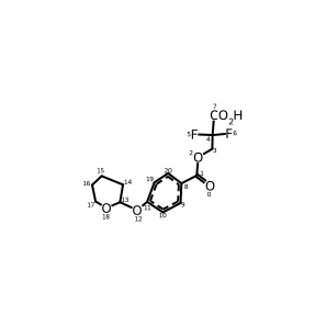 O=C(OCC(F)(F)C(=O)O)c1ccc(OC2CCCCO2)cc1